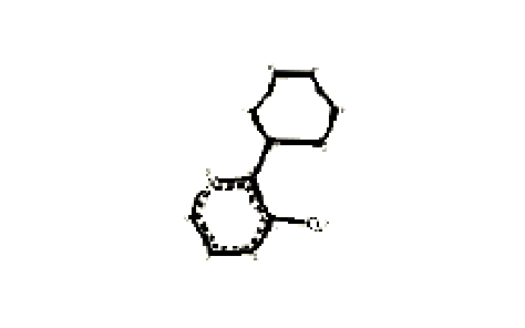 Clc1cccnc1C1[CH]CCCC1